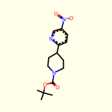 CC(C)(C)OC(=O)N1CCC(c2ccc([N+](=O)[O-])cn2)CC1